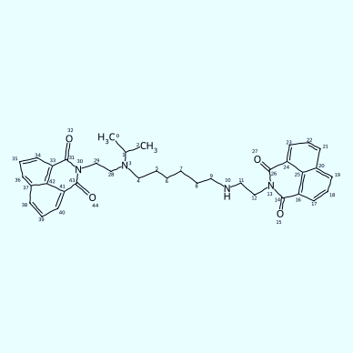 CC(C)N(CCCCCCNCCN1C(=O)c2cccc3cccc(c23)C1=O)CCN1C(=O)c2cccc3cccc(c23)C1=O